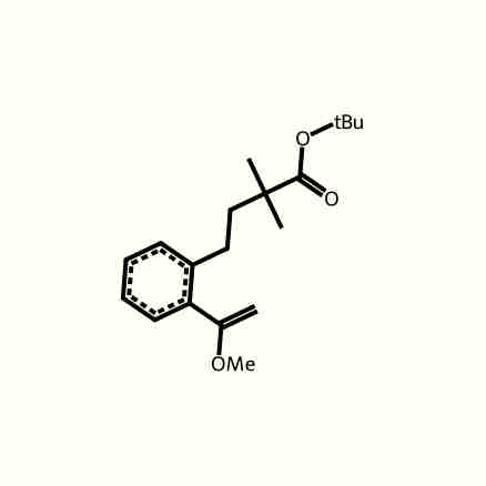 C=C(OC)c1ccccc1CCC(C)(C)C(=O)OC(C)(C)C